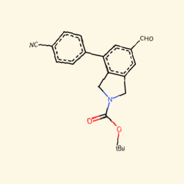 CC(C)(C)OC(=O)N1Cc2cc(C=O)cc(-c3ccc(C#N)cc3)c2C1